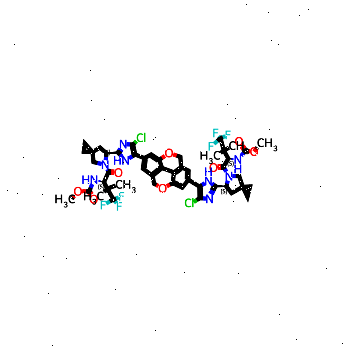 COC(=O)N[C@H](C(=O)N1CC2(CC2)C[C@H]1c1nc(Cl)c(-c2cc3c4c(c2)OCc2cc(-c5[nH]c([C@@H]6CC7(CC7)CN6C(=O)[C@@H](NC(=O)OC)C(C)(C)C(F)(F)F)nc5Cl)cc(c2-4)OC3)[nH]1)C(C)(C)C(F)(F)F